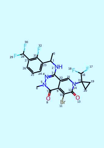 CC(Nc1nn(C)c(=O)c2c(Br)c(=O)n(C3(C(F)F)CC3)cc12)c1cccc(C(F)F)c1F